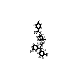 Cc1ccc(C(=O)C[N+]23CCC(CC2)[C@@H](OC(=O)OC(c2cccc(F)c2)c2cccc(F)c2)C3)cc1